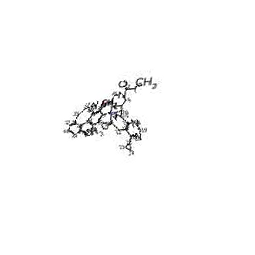 C=CC(=O)N1CCN(/C(=N/C(=O)Cc2c(C3CC3)ncnc2C2CC2)c2cc(Cl)c3c(c2N)OCCc2cccc(P)c2-3)[C@@H](C)C1